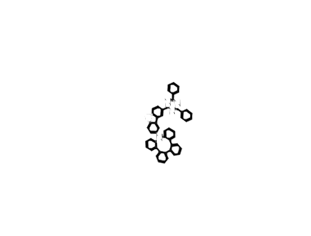 c1ccc(-c2nc(-c3ccccc3)nc(-c3ccc4oc5ccc(-n6c7ccccc7c7ccccc7c7ccccc7c7ccccc76)cc5c4c3)n2)cc1